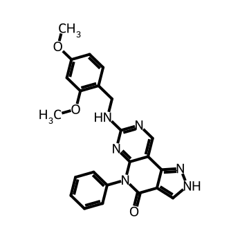 COc1ccc(CNc2ncc3c4n[nH]cc4c(=O)n(-c4ccccc4)c3n2)c(OC)c1